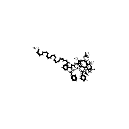 CC/C=C\C/C=C\C/C=C\C/C=C\C/C=C\C/C=C\CCC(=O)OC(C(=O)OC1C[C@@]2(O)[C@@H](OC(=O)c3ccccc3)[C@@H]3[C@]4(OC(C)=O)CO[C@@H]4C[C@H](O)[C@@]3(C)C(=O)[C@H](OC(C)=O)C(=C1C)C2(C)C)[C@@H](NC(=O)c1ccccc1)c1ccccc1